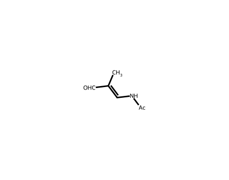 CC(=O)N/C=C(\C)C=O